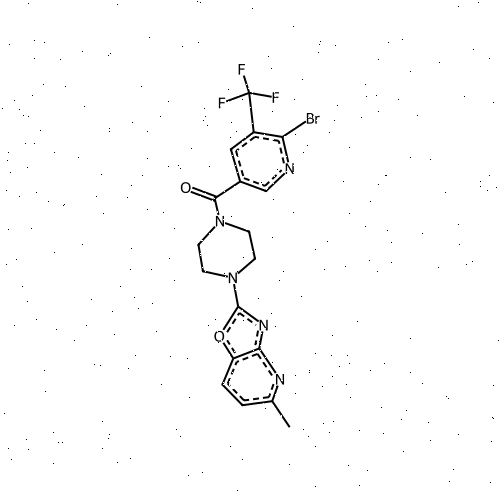 Cc1ccc2oc(N3CCN(C(=O)c4cnc(Br)c(C(F)(F)F)c4)CC3)nc2n1